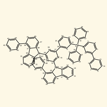 c1ccc(-c2cccc([Si](c3ccccc3)(c3ccccc3)c3cccc(-c4nc(-n5c6ccccc6c6c(-c7ccccc7)cccc65)nc(-n5c6ccccc6c6cccc(-c7ccccc7)c65)n4)c3)c2)cc1